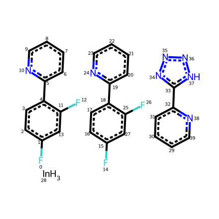 Fc1ccc(-c2ccccn2)c(F)c1.Fc1ccc(-c2ccccn2)c(F)c1.[InH3].c1ccc(-c2nnn[nH]2)nc1